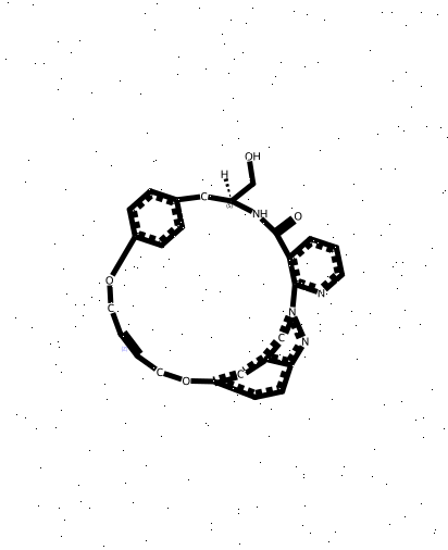 O=C1N[C@H](CO)Cc2ccc(cc2)OC/C=C\COc2ccc3nn(cc3c2)-c2ncccc21